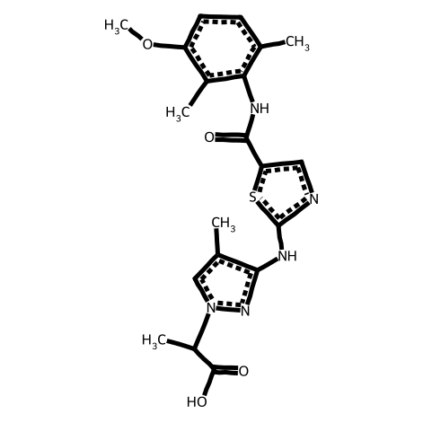 COc1ccc(C)c(NC(=O)c2cnc(Nc3nn(C(C)C(=O)O)cc3C)s2)c1C